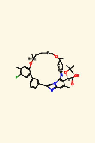 Cc1cc2c(cc1F)-c1cccc(c1)-c1cn3c(c([C@H](OC(C)(C)C)C(=O)O)c(C)cc3n1)N1CCC(C)(CC1)OCCCC[C@H](C)O2